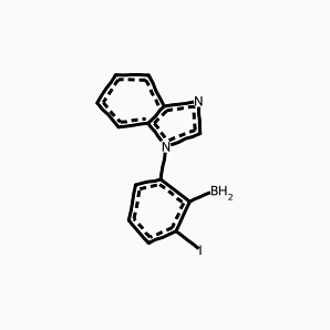 Bc1c(I)cccc1-n1cnc2ccccc21